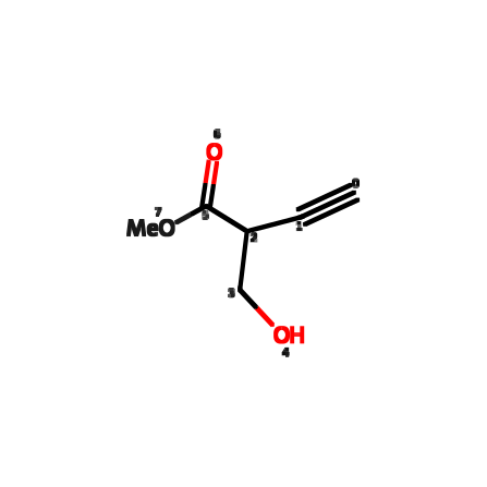 C#CC(CO)C(=O)OC